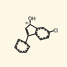 O[C@@H]1C=C(c2ccccc2)c2ccc(Cl)cc21